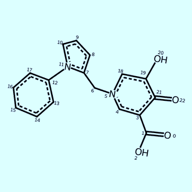 O=C(O)c1cn(Cc2cccn2-c2ccccc2)cc(O)c1=O